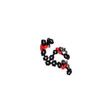 CC(OCCC12CC3CC(CC(C3)C1)C2)Oc1ccc(-c2ccc(-c3cccc(-c4ccc(-c5ccc(OC(C)OCCC67CC8CC(CC(C8)C6)C7)cc5)cc4)c3-c3ccc(-c4ccc(OC(C)OCCC56CC7CC(CC(C7)C5)C6)cc4)cc3)cc2)cc1